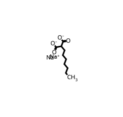 CCCCCCCC(C(=O)[O-])C(=O)[O-].[Na+].[Na+]